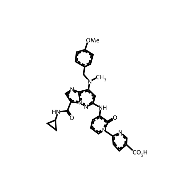 COc1ccc(CN(C)c2cc(Nc3cccn(-c4ccc(C(=O)O)cn4)c3=O)nn3c(C(=O)NC4CC4)cnc23)cc1